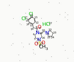 CS(=O)(=O)N1CCN(C(=O)Cc2ccc(Cl)c(Cl)c2)C(CN2CCCC2)C1.Cl